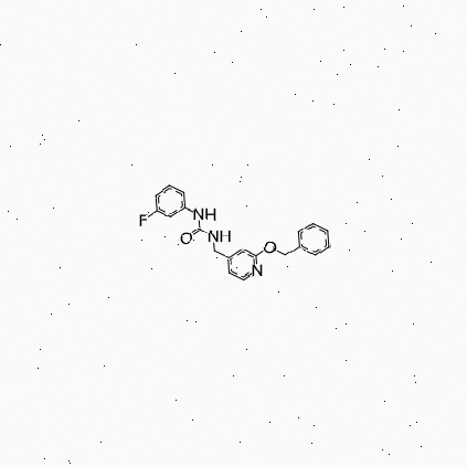 O=C(NCc1ccnc(OCc2ccccc2)c1)Nc1cccc(F)c1